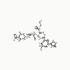 COCC(=O)N1CCN(c2cc(C)nc(-n3ccnc3)n2)CC1CC(=O)NCc1ccc(OC)cc1